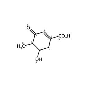 CC1C(=O)C=C(C(=O)O)CC1O